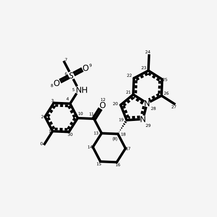 Cc1ccc(NS(C)(=O)=O)c(C(=O)C2CCCC[C@H]2c2cc3cc(C)cc(C)n3n2)c1